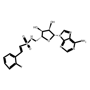 Nc1ncnc2c1ncn2[C@@H]1O[C@H](CNS(=O)(=O)/C=C/c2ccccc2F)[C@@H](O)[C@H]1O